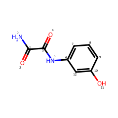 NC(=O)C(=O)Nc1cccc(O)c1